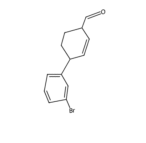 O=CC1C=CC(c2cccc(Br)c2)CC1